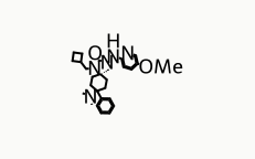 COc1ccc(NN2C[C@]3(CC[C@](c4ccccc4)(N(C)C)CC3)N(CC3CCC3)C2=O)nc1